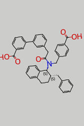 O=C(O)c1ccc(CN(C(=O)Cc2cccc(-c3cccc(C(=O)O)c3)c2)[C@@H]2c3ccccc3CC[C@H]2Cc2ccccc2)cc1